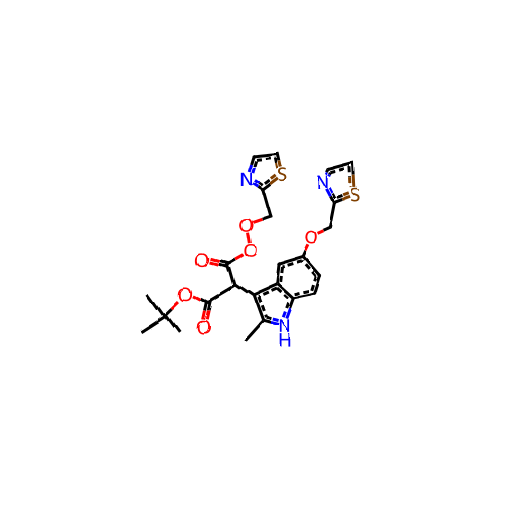 Cc1[nH]c2ccc(OCc3nccs3)cc2c1C(C(=O)OOCc1nccs1)C(=O)OC(C)(C)C